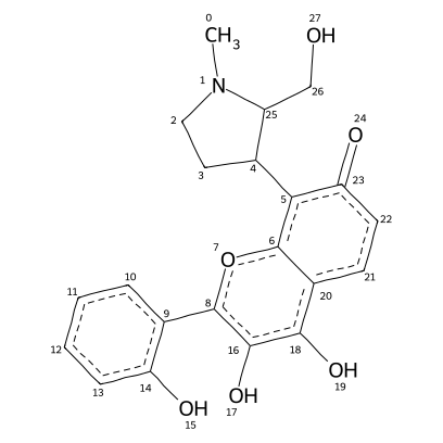 CN1CCC(c2c3oc(-c4ccccc4O)c(O)c(O)c-3ccc2=O)C1CO